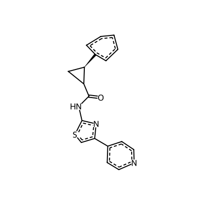 O=C(Nc1nc(-c2ccncc2)cs1)C1C[C@H]1c1ccccc1